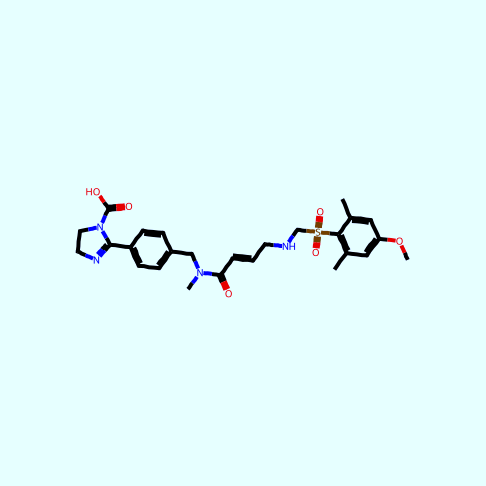 COc1cc(C)c(S(=O)(=O)CNC/C=C/C(=O)N(C)Cc2ccc(C3=NCCN3C(=O)O)cc2)c(C)c1